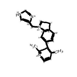 Cc1ccnc(C)c1-c1ccc2c(c1)N(Cc1c[nH]cn1)CC2